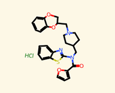 Cl.O=C(c1ccco1)N(CC1CCN(CC2COc3ccccc3O2)CC1)c1nc2ccccc2s1